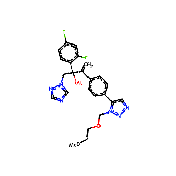 C=C(c1ccc(-c2cnnn2COCCOC)cc1)C(O)(Cn1cncn1)c1ccc(F)cc1F